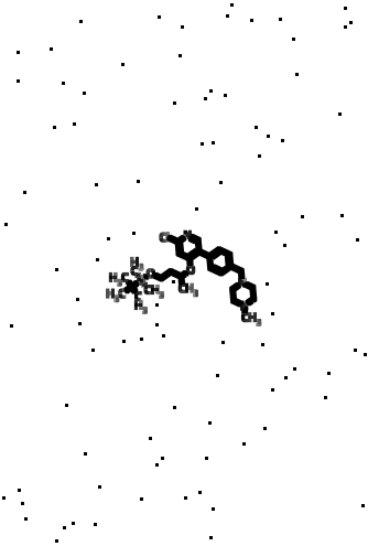 CC(CCO[Si](C)(C)C(C)(C)C)Oc1cc(Cl)ncc1-c1ccc(CN2CCN(C)CC2)cc1